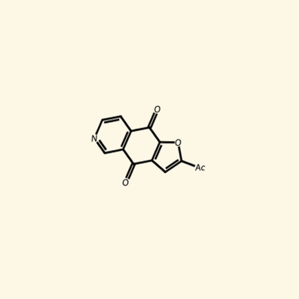 CC(=O)c1cc2c(o1)C(=O)c1ccncc1C2=O